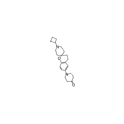 O=C1CCN(c2ccc3c(c2)CCC2(CCN(C4CCC4)CC2)O3)CC1